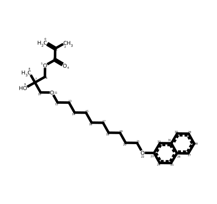 C=C(C)C(=O)OCC(C)(O)COCCCCCCCCCCOc1ccc2ccccc2c1